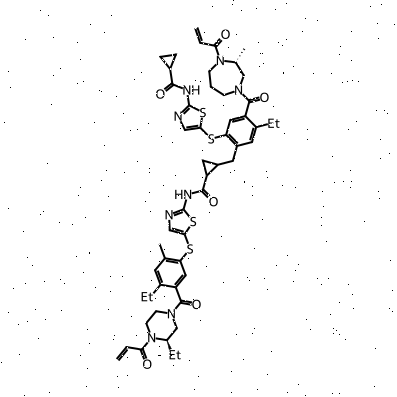 C=CC(=O)N1CCN(C(=O)c2cc(Sc3cnc(NC(=O)C4CC4Cc4cc(CC)c(C(=O)N5CCCN(C(=O)C=C)[C@H](C)C5)cc4Sc4cnc(NC(=O)C5CC5)s4)s3)c(C)cc2CC)C[C@H]1CC